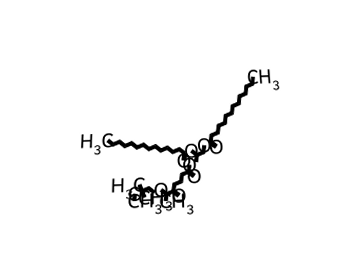 CCCCCCCCCCCCCC(=O)OCC(COC(=O)CCCC(=O)C(C)OCCC(C)(C)OC)OC(=O)CCCCCCCCCCCCC